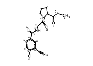 COC(=O)C1CCCN1C(=O)CNC(=O)c1ccc(Cl)c(C#N)c1